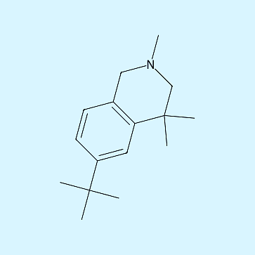 CN1Cc2ccc(C(C)(C)C)cc2C(C)(C)C1